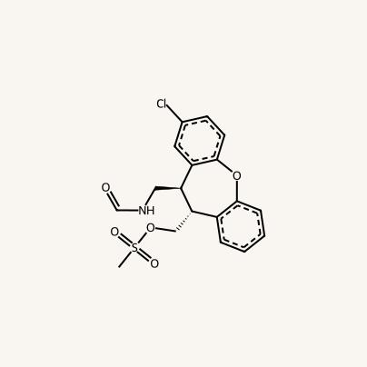 CS(=O)(=O)OC[C@H]1c2ccccc2Oc2ccc(Cl)cc2[C@@H]1CNC=O